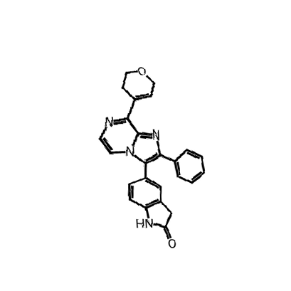 O=C1Cc2cc(-c3c(-c4ccccc4)nc4c(C5=CCOCC5)nccn34)ccc2N1